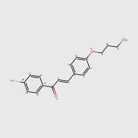 O=C(/C=C/c1ccc(OCCCCl)cc1)c1ccc(F)cc1